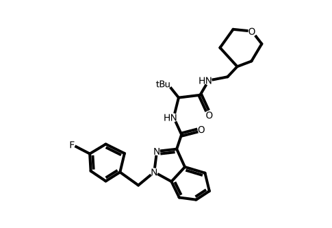 CC(C)(C)C(NC(=O)c1nn(Cc2ccc(F)cc2)c2ccccc12)C(=O)NCC1CCOCC1